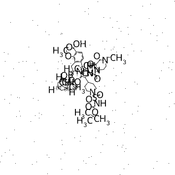 CCN1CCN(C(=O)NC(C(=O)NC(Cc2c(C(C)(C)C)ccc(C(=O)O)c2OC)B2O[C@@H]3C[C@@H]4C[C@@H](C4(C)C)[C@]3(C)O2)C2CCN(S(=O)(=O)NC(=O)OC(C)(C)C)CC2)C(=O)C1=O